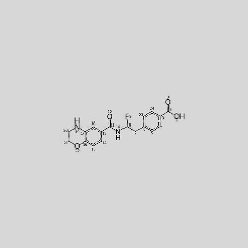 O=C(O)c1ccc(CC(F)NC(=O)c2ccc3c(c2)NCCO3)cc1